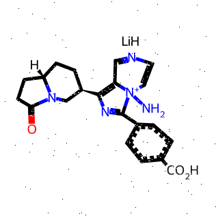 N[N+]12C=CN=CC1=C([C@@H]1CC[C@H]3CCC(=O)N3C1)N=C2c1ccc(C(=O)O)cc1.[LiH]